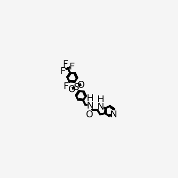 O=C(NCc1ccc(S(=O)(=O)c2ccc(C(F)(F)F)cc2F)cc1)C1Cc2cnccc2N1